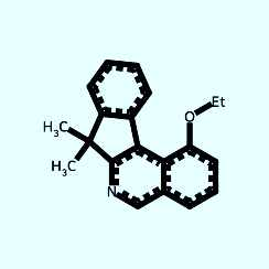 CCOc1cccc2cnc3c(c12)-c1ccccc1C3(C)C